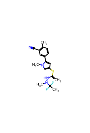 C=C(NN(C)C(C)(F)F)Sc1cc(-c2ccc(C)c(C#N)c2)n(C)c1